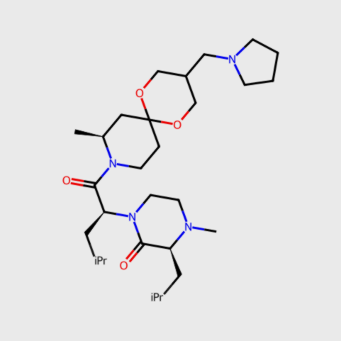 CC(C)C[C@H]1C(=O)N([C@@H](CC(C)C)C(=O)N2CCC3(C[C@@H]2C)OCC(CN2CCCC2)CO3)CCN1C